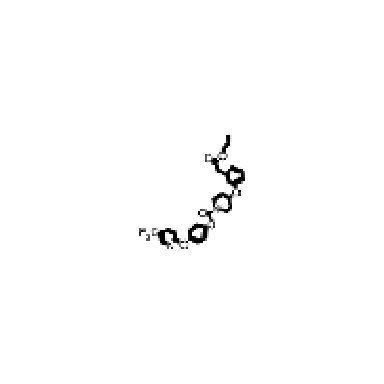 C=CCOC(=O)Cc1cccc(OC2CCN(C(=O)Oc3ccc(Oc4ccc(C(F)(F)F)cn4)cc3)CC2)c1